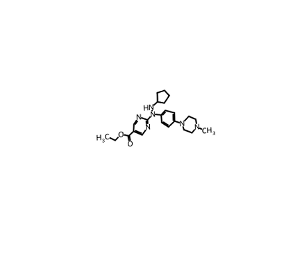 CCOC(=O)c1cnc(N(NC2CCCC2)c2ccc(N3CCN(C)CC3)cc2)nc1